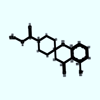 CC(C)(C)OC(=O)N1CCC2(CC1)CC(=O)c1c(Br)cccc1O2